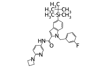 CC(C)(C)[Si](C)(C)c1ccc2c(c1)cc(C(=O)Nc1ccc(N3CCC3)nc1)n2Cc1cccc(F)c1